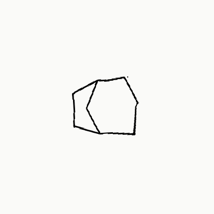 [CH]1CCC2CCC1C2